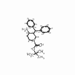 CC(C)(C)OC(=O)N1CCC(N)C(C(c2ccccc2)c2ccccc2)C1